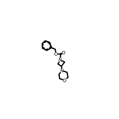 O=C(OCc1ccccc1)N1CC(N2CCOCC2)C1